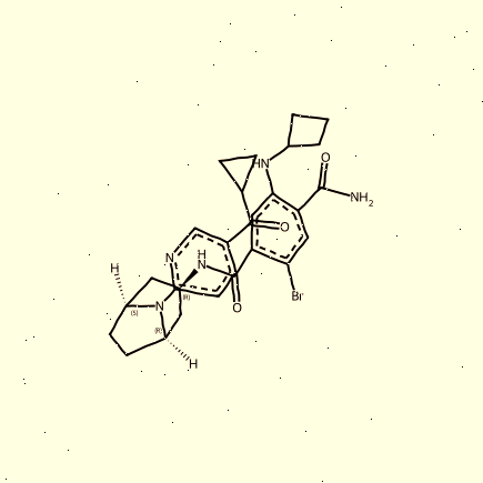 NC(=O)c1cc(Br)c(C(=O)N[C@H]2C[C@H]3CC[C@@H](C2)N3c2ccc(C(=O)C3CC3)cn2)cc1NC1CCC1